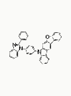 c1ccc(-c2nc3ccccc3n2-c2ccc(-n3c4ccccc4c4cc5c(cc43)oc3ccccc35)cc2)cc1